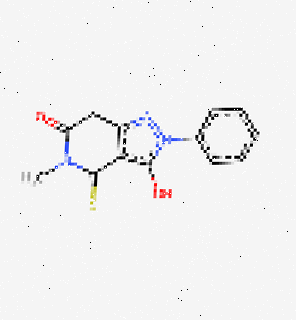 CN1C(=O)Cc2nn(-c3ccccc3)c(O)c2C1=S